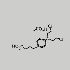 CC(=O)O.O=C(O)CCCc1ccc(N(CCCl)CCCl)cc1